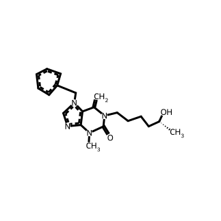 C=C1c2c(ncn2Cc2ccccc2)N(C)C(=O)N1CCCC[C@@H](C)O